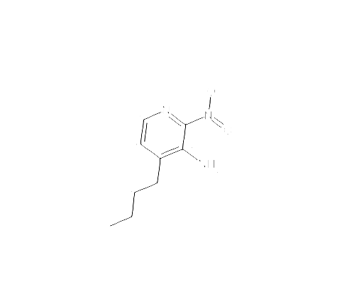 CCCCc1ccnc([N+](=O)[O-])c1N